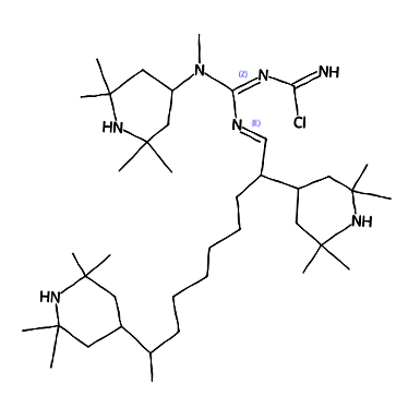 CC(CCCCCCC(/C=N/C(=N\C(=N)Cl)N(C)C1CC(C)(C)NC(C)(C)C1)C1CC(C)(C)NC(C)(C)C1)C1CC(C)(C)NC(C)(C)C1